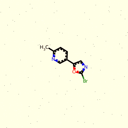 Cc1ccc(-c2cnc(Br)o2)cn1